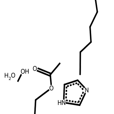 CCCCCC.CCOC(C)=O.CO.O.c1c[nH]cn1